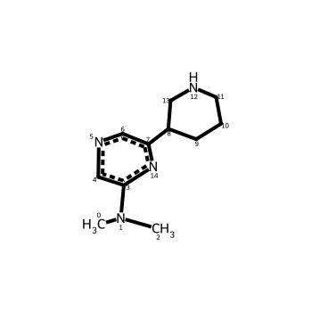 CN(C)c1cncc(C2CCCNC2)n1